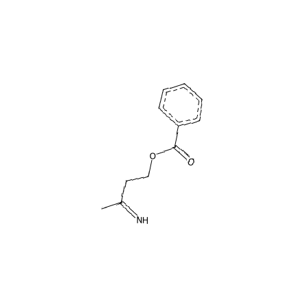 CC(=N)CCOC(=O)c1ccccc1